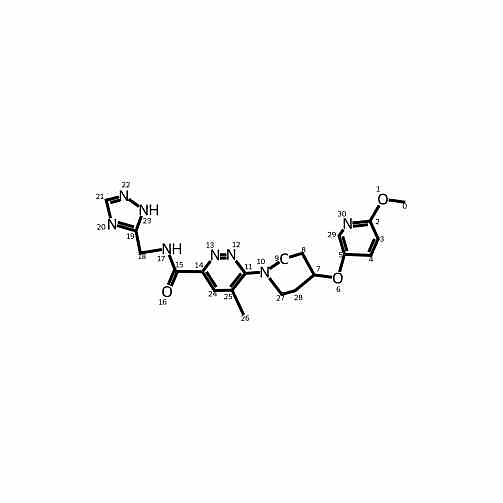 COc1ccc(OC2CCN(c3nnc(C(=O)NCc4ncn[nH]4)cc3C)CC2)cn1